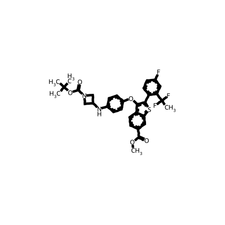 COC(=O)c1ccc2c(Oc3ccc(NC4CN(C(=O)OC(C)(C)C)C4)cc3)c(-c3ccc(F)cc3C(C)(F)F)sc2c1